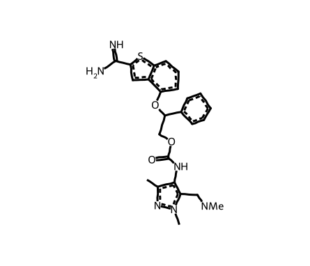 CNCc1c(NC(=O)OCC(Oc2cccc3sc(C(=N)N)cc23)c2ccccc2)c(C)nn1C